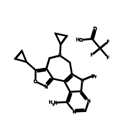 CC(C)n1c2c(c3c(N)ncnc31)-c1noc(C3CC3)c1CN(C1CC1)C2.O=C(O)C(F)(F)F